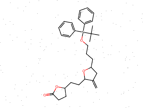 C=C1CC(CCCO[Si](c2ccccc2)(c2ccccc2)C(C)(C)C)OC1CCC1CCC(=O)O1